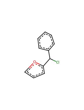 ClC(c1ccccc1)c1ccco1